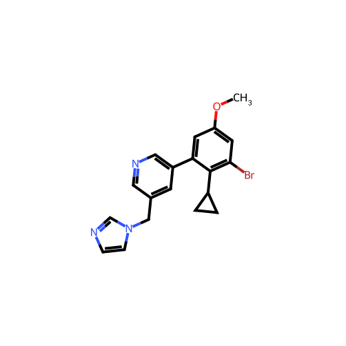 COc1cc(Br)c(C2CC2)c(-c2cncc(Cn3ccnc3)c2)c1